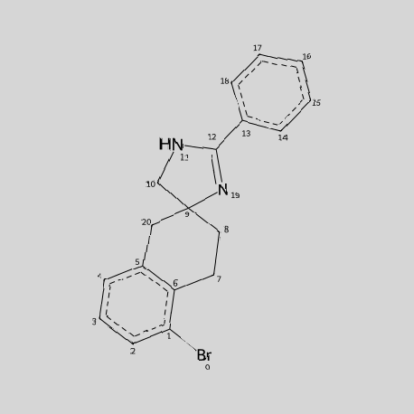 Brc1cccc2c1CCC1(CNC(c3ccccc3)=N1)C2